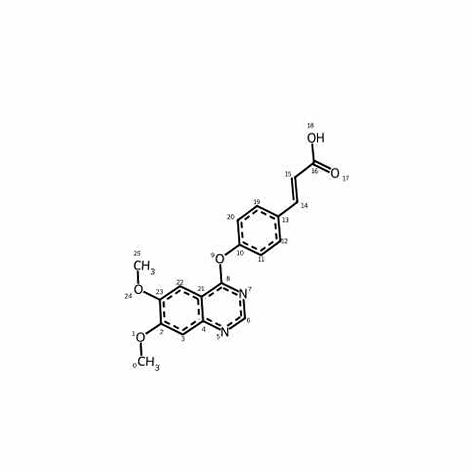 COc1cc2ncnc(Oc3ccc(/C=C/C(=O)O)cc3)c2cc1OC